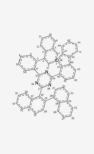 c1ccc(-c2cccc3ccccc23)c(-c2nc(-c3c(-c4cccc5ccccc45)ccc4ccccc34)nc(-c3cccc4c3oc3ccccc34)n2)c1